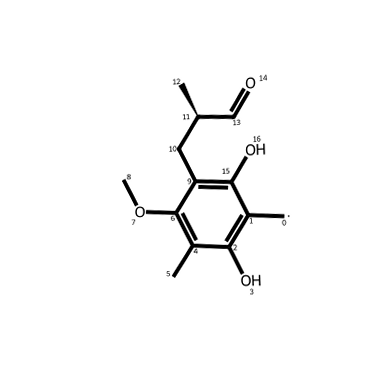 [CH2]c1c(O)c(C)c(OC)c(C[C@@H](C)C=O)c1O